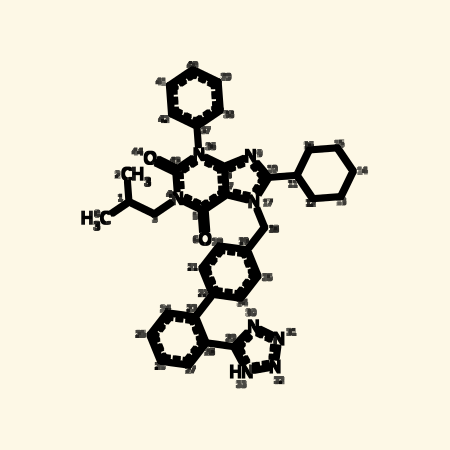 CC(C)Cn1c(=O)c2c(nc(C3CCCCC3)n2Cc2ccc(-c3ccccc3-c3nnn[nH]3)cc2)n(-c2ccccc2)c1=O